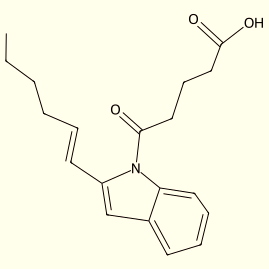 CCCCC=Cc1cc2ccccc2n1C(=O)CCCC(=O)O